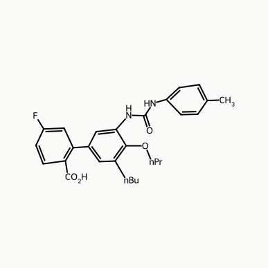 CCCCc1cc(-c2cc(F)ccc2C(=O)O)cc(NC(=O)Nc2ccc(C)cc2)c1OCCC